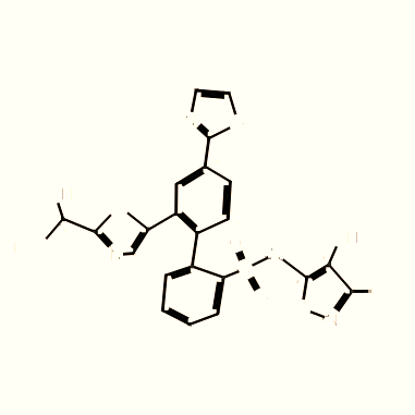 Cc1noc(NS(=O)(=O)c2ccccc2-c2ccc(-c3ncco3)cc2-c2cnc(C(C)C)o2)c1C